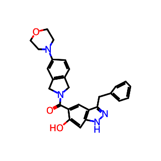 O=C(c1cc2c(Cc3ccccc3)n[nH]c2cc1O)N1Cc2ccc(N3CCOCC3)cc2C1